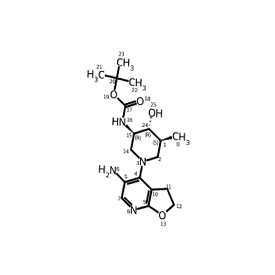 C[C@H]1CN(c2c(N)cnc3c2CCO3)C[C@@H](NC(=O)OC(C)(C)C)[C@@H]1O